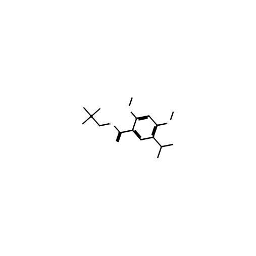 COc1cc(OC)c(C(C)C)cc1C(=O)NCC(C)(C)C